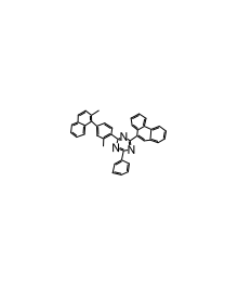 Cc1cc(-c2c(C)ccc3ccccc23)ccc1-c1nc(-c2ccccc2)nc(-c2cc3ccccc3c3ccccc23)n1